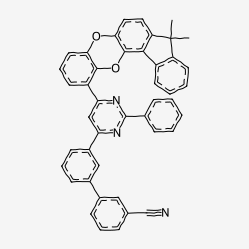 CC1(C)c2ccccc2-c2c1ccc1c2Oc2c(cccc2-c2cc(-c3cccc(-c4cccc(C#N)c4)c3)nc(-c3ccccc3)n2)O1